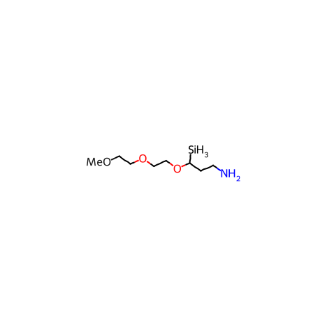 COCCOCCOC([SiH3])CCN